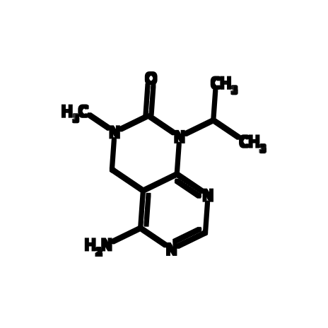 CC(C)N1C(=O)N(C)Cc2c(N)ncnc21